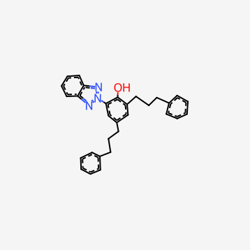 Oc1c(CCCc2ccccc2)cc(CCCc2ccccc2)cc1-n1nc2ccccc2n1